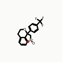 O=[N+]([O-])CC1(c2ccc(C(F)(F)F)cc2)OCCc2ccccc21